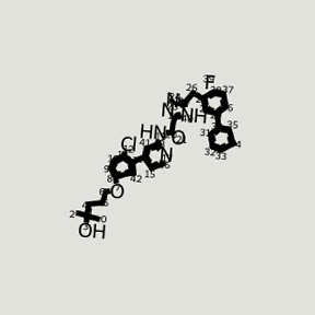 CC(C)(O)CCCOc1ccc(Cl)c(-c2ccnc(NC(=O)c3nnc(Cc4cc(-c5ccccc5)ccc4F)[nH]3)c2)c1